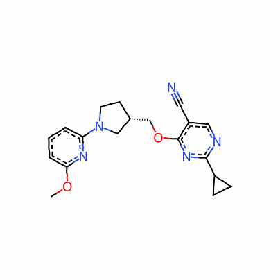 COc1cccc(N2CC[C@H](COc3nc(C4CC4)ncc3C#N)C2)n1